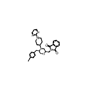 Cc1ccc(CC2COC(CN3C(=O)c4ccccc4C3=O)CN2C2CCN(c3ncccn3)CC2)cc1